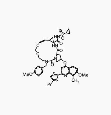 COc1ccc(CN2CCCCCC=CC3CC3(C(=O)NS(=O)(=O)C3CC3)NC(=O)C3CC(Oc4cc(-c5nc(C(C)C)cs5)nc5c(C)c(OC)ccc45)CN3C2=O)cc1